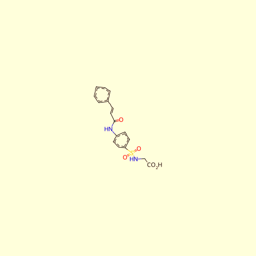 O=C(O)CNS(=O)(=O)c1ccc(NC(=O)C=Cc2ccccc2)cc1